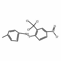 Cc1ccc(NSc2ccc([N+](=O)[O-])cc2C(Cl)(Cl)Cl)cc1